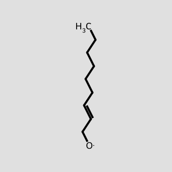 CCCCCCC=CC[O]